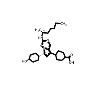 CCCCC[C@H](C)Nc1ncc2c(C3CCC(C(=O)O)CC3)cc([C@H]3CC[C@H](O)CC3)n2n1